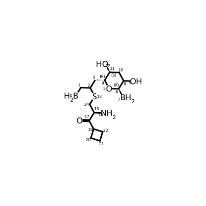 BCC(C[C@H]1O[C@H](B)C(O)C[C@@H]1O)SCC(N)C(=O)C1CCC1